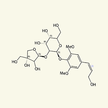 COc1cc(/C=C\CO)cc(OC)c1O[C@@H]1OC(CO)[C@@H](O)[C@@H](O)C1O[C@@H]1OC[C@](O)(CO)C1O